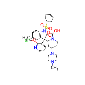 CCOc1ncccc1C1(C2CC(N3CCN(C)CC3)CCN2C(=O)O)C(=O)N(S(=O)(=O)c2ccccc2)c2ccc(Cl)cc21